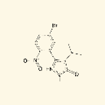 CC(C)c1c(-c2cc(Br)ccc2[N+](=O)[O-])[nH][nH]c1=O